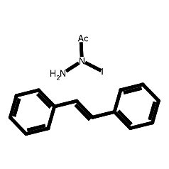 C(=Cc1ccccc1)c1ccccc1.CC(=O)N(N)I